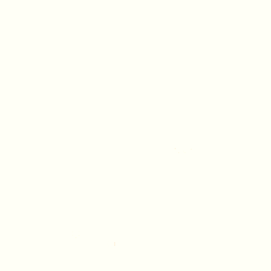 CCCCCCCC[O-].CCCCCCCC[O-].[Ca+2]